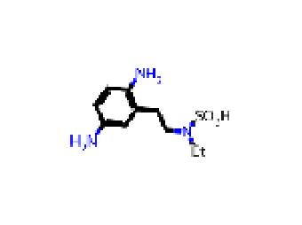 CCN(CCc1cc(N)ccc1N)S(=O)(=O)O